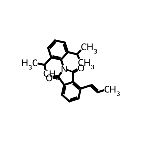 CC=Cc1cccc2c1C(=O)N(c1c(C(C)C)cccc1C(C)C)C2=O